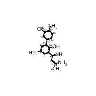 C/C(N)=C/C(=N)c1cc(C)cc(-c2ccc(N)c(Cl)c2)c1O